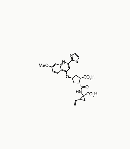 C=C[C@@H]1C[C@]1(NC(=O)[C@@H]1C[C@@H](Oc2cc(-c3nccs3)nc3cc(OC)ccc23)C[C@H]1C(=O)O)C(=O)O